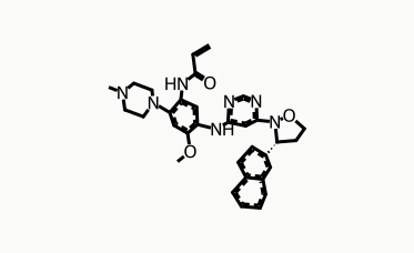 C=CC(=O)Nc1cc(Nc2cc(N3OCC[C@@H]3c3ccc4ccccc4c3)ncn2)c(OC)cc1N1CCN(C)CC1